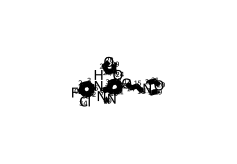 Fc1ccc(Nc2ncnc3cc(OCCCN4CCOCC4)c(O[C@@H]4CCOC4)cc23)cc1Cl